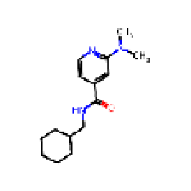 CN(C)c1cc(C(=O)NCC2CCCCC2)ccn1